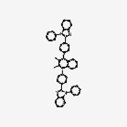 Cc1c(C)c(-c2ccc(-c3nc4ccccc4n3-c3ccccc3)cc2)c2ccccc2c1-c1ccc(-c2nc3ccccc3n2-c2ccccc2)cc1